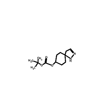 CC(C)(C)OC(=O)OC1CCC2(CC=NN2)CC1